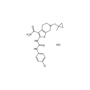 CC1(CN2CCc3c(sc(NC(=O)Nc4ccc(Cl)cc4)c3C(N)=O)C2)CC1.Cl